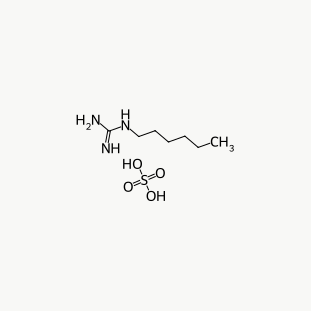 CCCCCCNC(=N)N.O=S(=O)(O)O